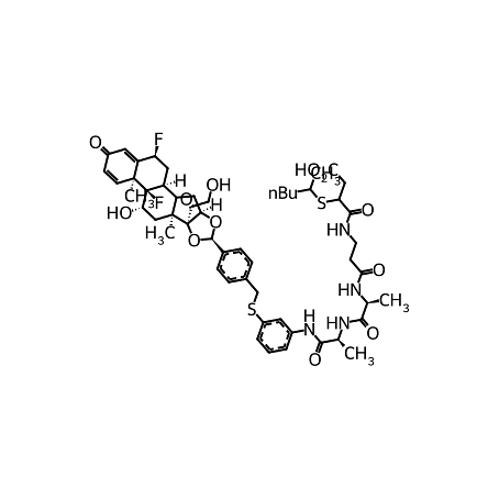 CCCCC(C)SC(CC(=O)O)C(=O)NCCC(=O)N[C@@H](C)C(=O)N[C@@H](C)C(=O)Nc1cccc(SCc2ccc([C@@H]3O[C@@H]4CC5[C@@H]6C[C@H](F)C7=CC(=O)C=C[C@]7(C)[C@@]6(F)[C@@H](O)C[C@]5(C)[C@]4(C(=O)CO)O3)cc2)c1